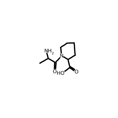 CC(N)C(=O)N1CCCCC1C(=O)O